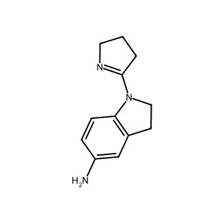 Nc1ccc2c(c1)CCN2C1=NCCC1